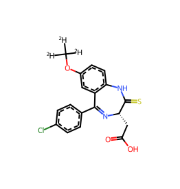 [2H]C([2H])([2H])Oc1ccc2c(c1)C(c1ccc(Cl)cc1)=N[C@@H](CC(=O)O)C(=S)N2